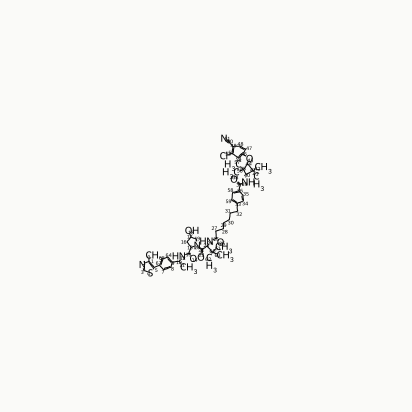 Cc1ncsc1-c1ccc([C@H](C)NC(=O)C2C[C@@H](O)CN2C(=O)[C@@H](NC(=O)CCCCCCc2ccc(C(=O)N[C@H]3C(C)(C)[C@H](Oc4ccc(C#N)c(Cl)c4)C3(C)C)cc2)C(C)(C)C)cc1